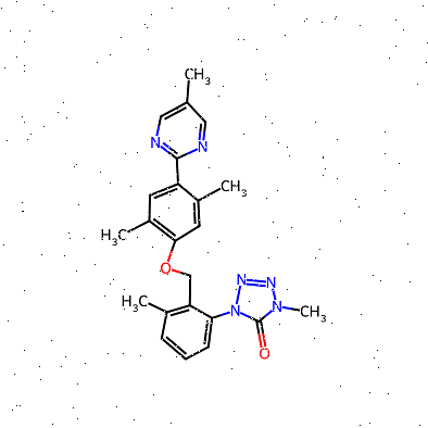 Cc1cnc(-c2cc(C)c(OCc3c(C)cccc3-n3nnn(C)c3=O)cc2C)nc1